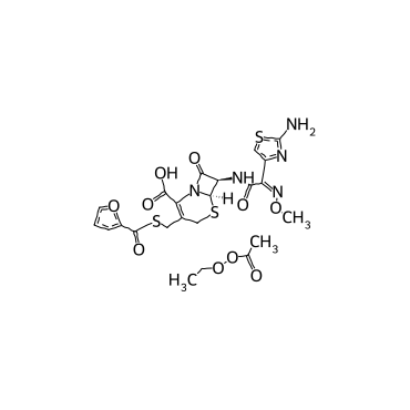 CCOOC(C)=O.CO/N=C(\C(=O)N[C@@H]1C(=O)N2C(C(=O)O)=C(CSC(=O)c3ccco3)CS[C@H]12)c1csc(N)n1